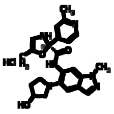 CC1=CN[C@@](C(=O)Nc2cc3c(cnn3C)cc2N2CCC(O)C2)(c2ccnc(C)c2)O1.Cl